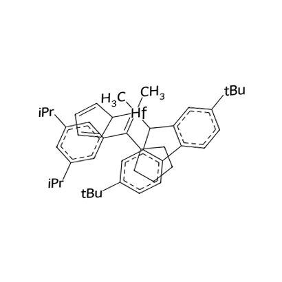 CC(C)c1cc([C](C2CCCC2)=[Hf]([CH3])([CH3])([CH]2C=CC=C2)[CH]2c3cc(C(C)(C)C)ccc3-c3ccc(C(C)(C)C)cc32)cc(C(C)C)c1